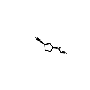 N#CC1CCC(N[C]=O)C1